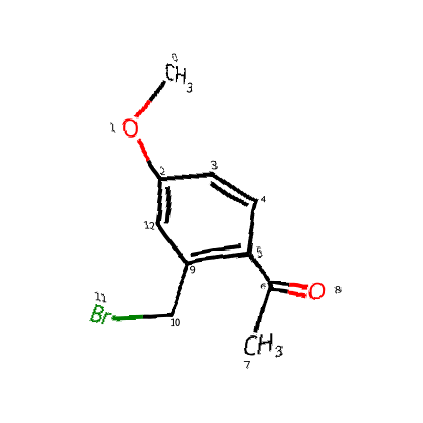 COc1ccc(C(C)=O)c(CBr)c1